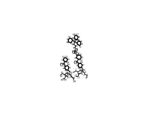 CCCC[N+](CCCC)(CCCC)Cc1ccc(C(=O)c2ccccc2)cc1.CCCC[N+](CCCC)(CCCC)Cc1ccc(C(=O)c2ccccc2)cc1.[O-]B([O-])OCCCC(c1ccccc1)(c1ccccc1)c1ccccc1